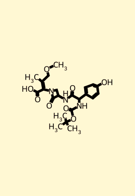 COCC(C)=C(C(=O)O)N1CC(NC(=O)C(NC(=O)OC(C)(C)C)c2ccc(O)cc2)C1=O